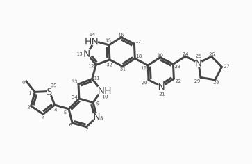 Cc1ccc(-c2ccnc3[nH]c(-c4n[nH]c5ccc(-c6cncc(CN7CCCC7)c6)cc45)cc23)s1